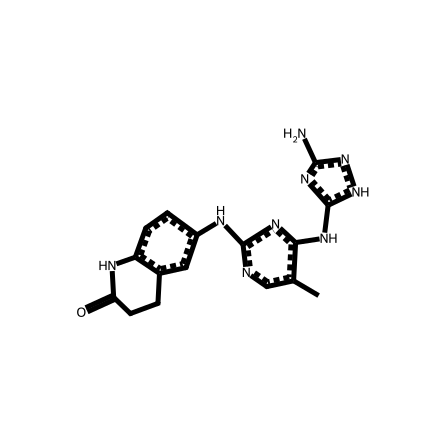 Cc1cnc(Nc2ccc3c(c2)CCC(=O)N3)nc1Nc1nc(N)n[nH]1